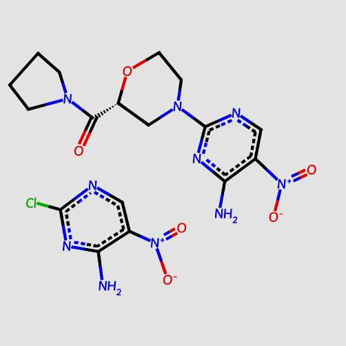 Nc1nc(Cl)ncc1[N+](=O)[O-].Nc1nc(N2CCO[C@@H](C(=O)N3CCCC3)C2)ncc1[N+](=O)[O-]